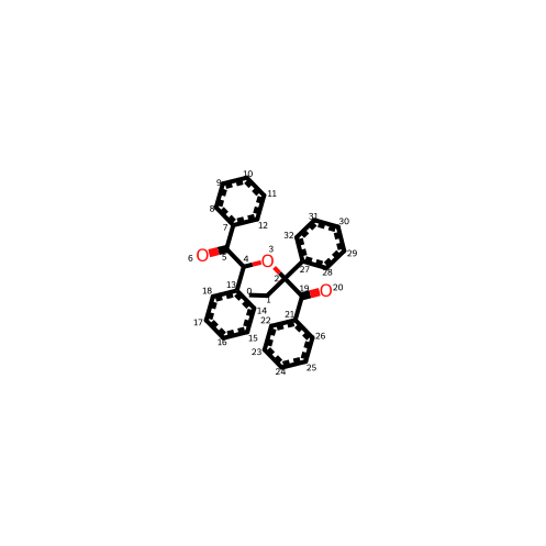 CCC(OC(C(=O)c1ccccc1)c1ccccc1)(C(=O)c1ccccc1)c1ccccc1